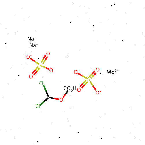 O=C(O)OC(Cl)Cl.O=S(=O)([O-])[O-].O=S(=O)([O-])[O-].[Mg+2].[Na+].[Na+]